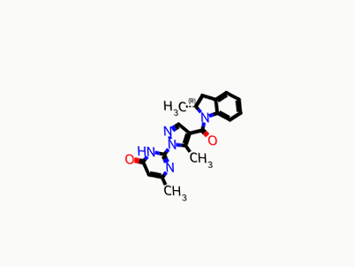 Cc1cc(=O)[nH]c(-n2ncc(C(=O)N3c4ccccc4C[C@H]3C)c2C)n1